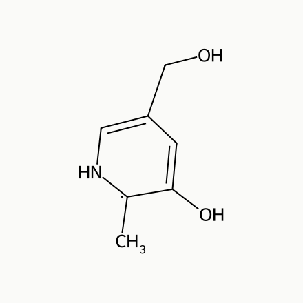 C[C]1NC=C(CO)C=C1O